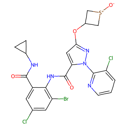 O=C(NC1CC1)c1cc(Cl)cc(Br)c1NC(=O)c1cc(OC2C[S+]([O-])C2)nn1-c1ncccc1Cl